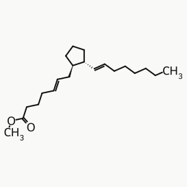 CCCCCCC=C[C@H]1CCC[C@@H]1CC=CCCCC(=O)OC